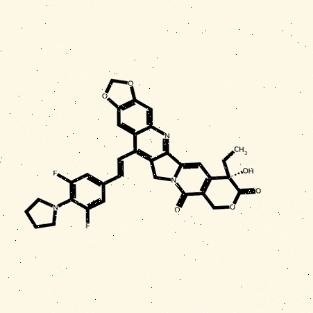 CC[C@@]1(O)C(=O)OCc2c1cc1n(c2=O)Cc2c-1nc1cc3c(cc1c2/C=C/c1cc(F)c(N2CCCC2)c(F)c1)OCO3